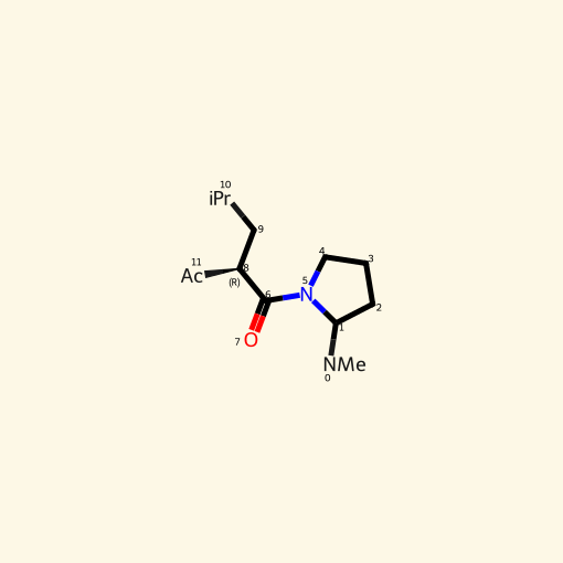 CNC1CCCN1C(=O)[C@H](CC(C)C)C(C)=O